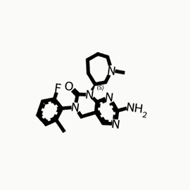 Cc1cccc(F)c1N1Cc2cnc(N)nc2N([C@H]2CCCCN(C)C2)C1=O